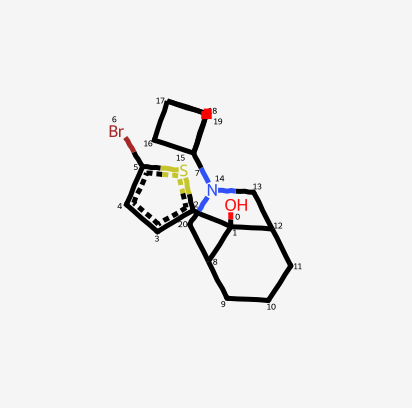 OC1(c2ccc(Br)s2)C2CCCC1CN(C13CC(C1)C3)C2